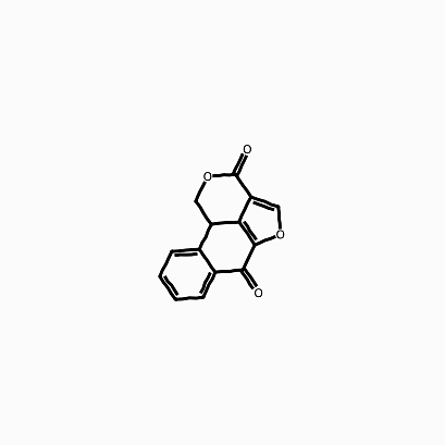 O=C1OCC2c3ccccc3C(=O)c3occ1c32